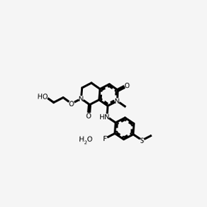 CSc1ccc(Nc2c3c(cc(=O)n2C)CCN(OCCO)C3=O)c(F)c1.O